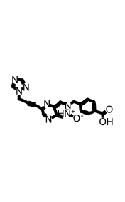 O=C(O)c1ccc(CN2C=c3nc(C#CCn4cncn4)cnc3=C[NH+]2[O-])cc1